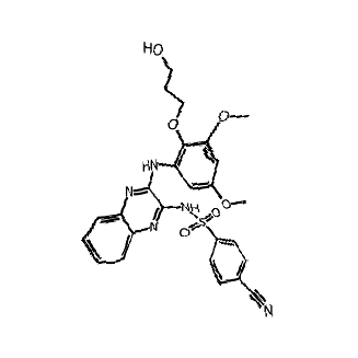 COc1cc(Nc2nc3ccccc3nc2NS(=O)(=O)c2ccc(C#N)cc2)c(OCCCO)c(OC)c1